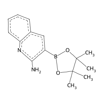 CC1(C)OB(c2cc3ccccc3nc2N)OC1(C)C